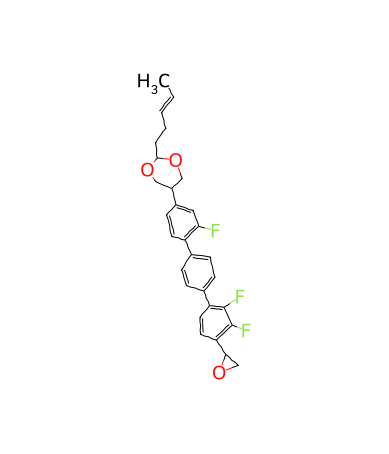 C/C=C/CCC1OCC(c2ccc(-c3ccc(-c4ccc(C5CO5)c(F)c4F)cc3)c(F)c2)CO1